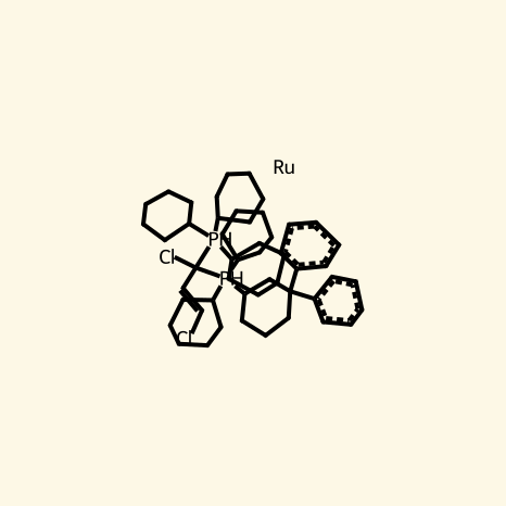 ClC=CC(Cl)([PH](C1CCCCC1)(C1CCCCC1)C1CCCCC1)[PH](C1CCCCC1)(C1CCCCC1)C1CCCC(c2ccccc2)(c2ccccc2)C1.[Ru]